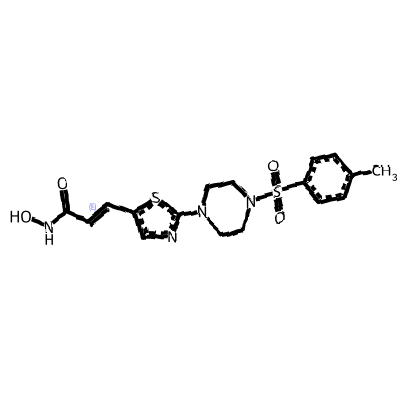 Cc1ccc(S(=O)(=O)N2CCN(c3ncc(/C=C/C(=O)NO)s3)CC2)cc1